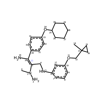 CN(N)/C(CNc1nccc(OCC2(C)CC2)n1)=C(\N)c1ccc(OC2CCCCC2)cn1